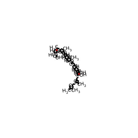 C=C1COC(CC[C@@H]2OC(CC[C@]34OC5C6OC(O)(C3O)[C@@H](O4)C6O[C@H]3CCC(CC(=O)O[C@H]4CO[C@H]6C[C@H]7O[C@]8(CC9O[C@@](C[C@H](C)C%10CC[C@@H](O)[C@@H](CC(=O)O)O%10)(OC)C[C@H](C)C9O8)C[C@H]7O[C@H]6[C@@H]4C)O[C@H]53)CC2=C)C[C@H]1C